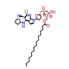 CCCCCCCCCCCCCCCCC(=O)OCOP(=O)(O)CS(=O)(=O)C[C@@H]1CC[C@H](n2ccc3c(NC4CCCC4)c(C#N)c(Cl)nc32)O1